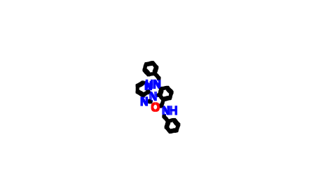 O=C(NCc1ccccc1)c1cccc(NCc2ccccc2)c1-n1cnc2cccnc21